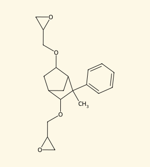 CC1(c2ccccc2)C2CC(CC2OCC2CO2)C1OCC1CO1